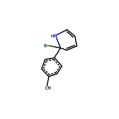 N#Cc1ccc(C2(Br)C=CC=CN2)cc1